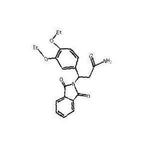 CCOc1ccc(C(CC(N)=O)N2C(=O)c3ccccc3C2=O)cc1OCC